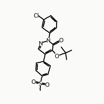 CC(C)(C)Oc1c(-c2ccc(S(C)(=O)=O)cc2)cnn(-c2cccc(Cl)c2)c1=O